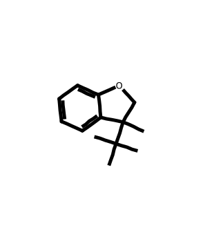 CC(C)(C)C1(C)COc2ccccc21